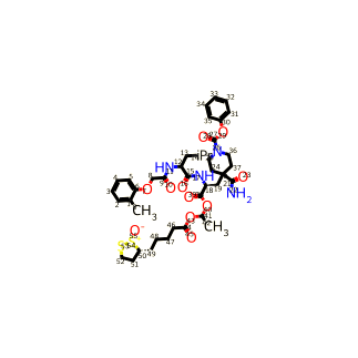 Cc1ccccc1OCC(=O)NC(CC(C)C)C(=O)N[C@@H](CC1(C(N)=O)CCN(C(=O)Oc2ccccc2)CC1)C(=O)OC(C)OC(=O)CCCC[C@@H]1CCS[S+]1[O-]